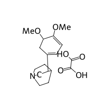 COC1=CC=C(C2CN3CCC2CC3)CC1OC.O=C(O)C(=O)O